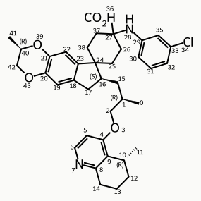 C[C@@H](COc1ccnc2c1[C@H](C)CCC2)C[C@H]1Cc2cc3c(cc2C12CCC(Nc1cccc(Cl)c1)(C(=O)O)CC2)O[C@H](C)CO3